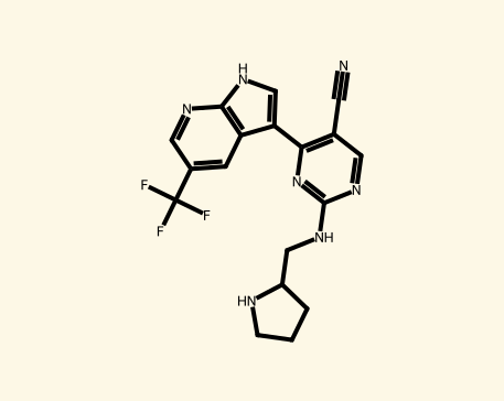 N#Cc1cnc(NCC2CCCN2)nc1-c1c[nH]c2ncc(C(F)(F)F)cc12